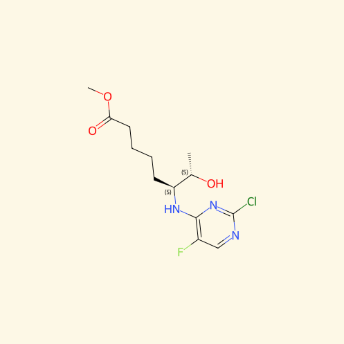 COC(=O)CCCC[C@H](Nc1nc(Cl)ncc1F)[C@H](C)O